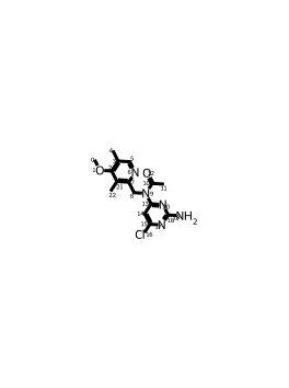 COc1c(C)cnc(CN(C(C)=O)c2cc(Cl)nc(N)n2)c1C